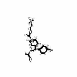 CC(=O)NCC(c1ccc(Br)cc1)C1CCN(C(=O)OCC[Si](C)(C)C)CC1